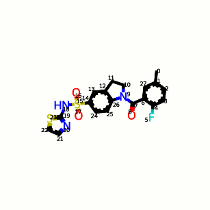 Cc1ccc(F)c(C(=O)N2CCc3cc(S(=O)(=O)Nc4nccs4)ccc32)c1